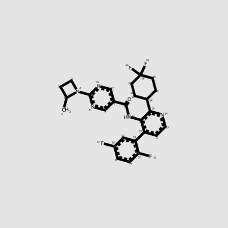 CC1CCN1c1ncc(C(=O)Nc2c(-c3cc(F)ccc3F)ccnc2C2CCC(F)(F)CC2)cn1